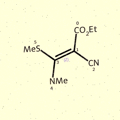 CCOC(=O)/C(C#N)=C(/NC)SC